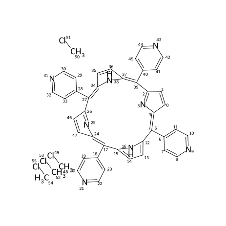 C1=Cc2nc1c(-c1ccncc1)c1ccc([nH]1)c(-c1ccncc1)c1nc(c(-c3ccncc3)c3ccc([nH]3)c2-c2ccncc2)C=C1.CCl.CCl.CCl.CCl